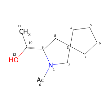 CC(=O)N1CC2(CCCC2)C[C@H]1C(C)O